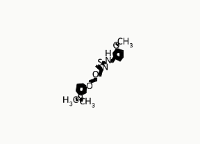 COc1cccc(CNc2nc(COCCOc3cccc(N(C)C)c3)cs2)c1